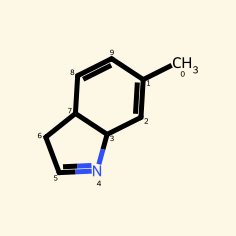 CC1=CC2N=CCC2C=C1